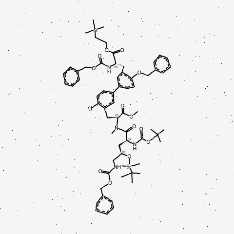 COC(=O)[C@H](Cc1cc(-c2ccc(OCc3ccccc3)c(C[C@H](NC(=O)OCc3ccccc3)C(=O)OCC[Si](C)(C)C)c2)ccc1Cl)N(C)C(=O)[C@H](C[C@H](CNC(=O)OCc1ccccc1)O[Si](C)(C)C(C)(C)C)NC(=O)OC(C)(C)C